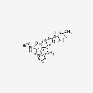 Cc1cccc(NC(=O)Nc2ccc(-c3c(C(=O)NCC(C)(C)C)cn4ncnc(N)c34)cc2)n1